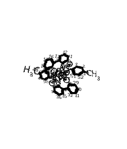 Cc1ccc(S(=O)(=O)N2c3ccccc3-c3ccccc3O[P@]2(=O)N[P@]2(=O)Oc3ccccc3-c3ccccc3N2S(=O)(=O)c2ccc(C)cc2)cc1